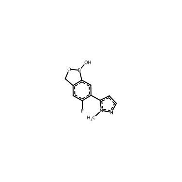 Cn1nccc1-c1cc2c(cc1F)COB2O